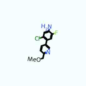 COCc1ccc(-c2cc(F)c(N)cc2Cl)cn1